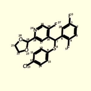 Fc1ccc(F)c(C(Sc2ccc(Cl)cc2)c2cc(C3OCCO3)ncc2F)c1